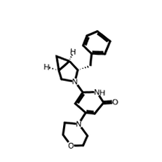 O=c1cc(N2CCOCC2)cc(N2C[C@H]3C[C@H]3[C@@H]2Cc2ccccc2)[nH]1